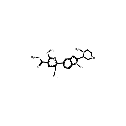 CCc1cc(C(=O)OC)c(OC)nc1-c1ccc2c(c1)cc(C1CNCCN1C)n2C